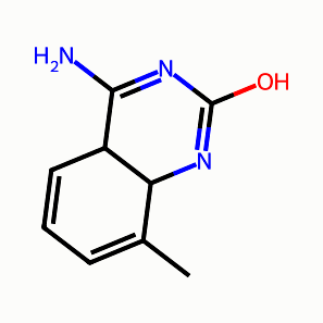 CC1=CC=CC2C(N)=NC(O)=NC12